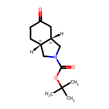 CC(C)(C)OC(=O)N1C[C@H]2CC(=O)CC[C@H]2C1